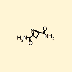 NC(=O)C1=CN=C(C(N)=O)C1